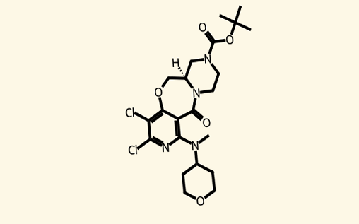 CN(c1nc(Cl)c(Cl)c2c1C(=O)N1CCN(C(=O)OC(C)(C)C)C[C@@H]1CO2)C1CCOCC1